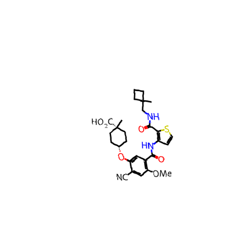 COc1cc(C#N)c(O[C@H]2CC[C@@](C)(C(=O)O)CC2)cc1C(=O)Nc1ccsc1C(=O)NCC1(C)CCC1